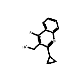 OCc1c(C2CC2)nc2ccccc2c1F